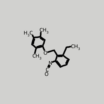 CCc1cccc(N=C=O)c1COc1cc(C)c(C)cc1C